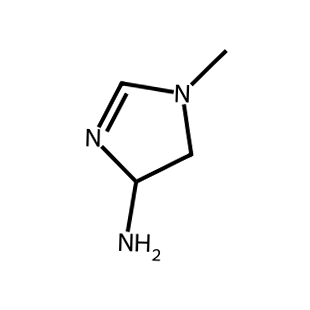 CN1C=NC(N)C1